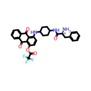 N[C@@H](Cc1ccccc1)C(=O)NC1CCC(Nc2ccc(OC(=O)C(F)(F)F)c3c2C(=O)c2ccccc2C3=O)CC1